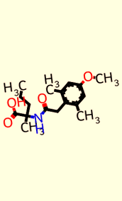 CCCC(C)(NC(=O)Cc1c(C)cc(OC)cc1C)C(=O)O